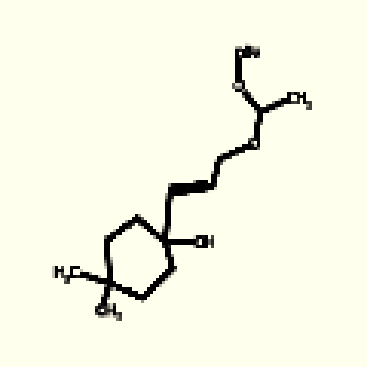 CCCCOC(C)OCC=CC1(O)CCC(C)(C)CC1